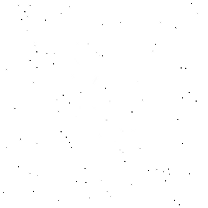 CC(C(=O)C(C)c1ccc2ncccc2c1)c1ccc2ncccc2c1